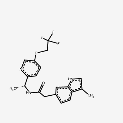 Cc1c[nH]c2cc(CC(=O)N[C@H](C)c3ccc(OCC(F)(F)F)cn3)ccc12